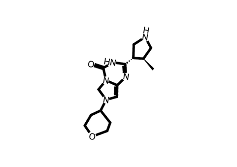 C[C@@H]1CNC[C@H]1C1=NC2=CN(C3CCOCC3)CN2C(=O)N1